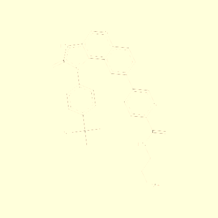 COCCNC(=O)c1ccc(-c2ccc3ncc4[nH]c(=O)n(-c5ccc(C(C)(C)C#N)cc5)c4c3c2)cn1